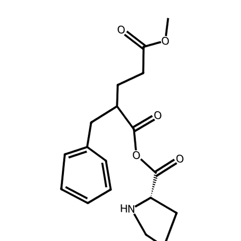 COC(=O)CCC(Cc1ccccc1)C(=O)OC(=O)[C@@H]1CCCN1